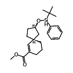 COC(=O)C1=C[C@]2(CCC1)CC[C@@H](O[SiH](c1ccccc1)C(C)(C)C)C2